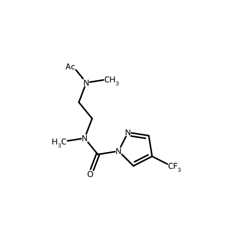 CC(=O)N(C)CCN(C)C(=O)n1cc(C(F)(F)F)cn1